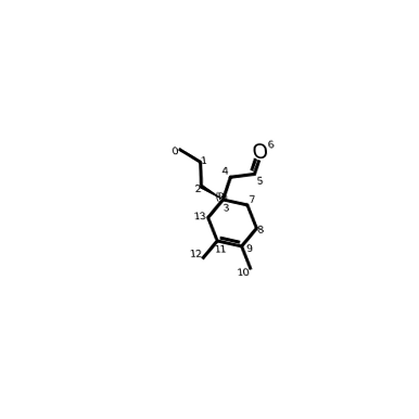 CCC[C@@]1(CC=O)CCC(C)=C(C)C1